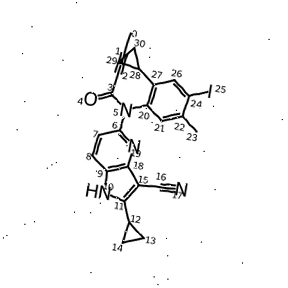 CC#CC(=O)N(c1ccc2[nH]c(C3CC3)c(C#N)c2n1)c1cc(C)c(I)cc1C1CC1